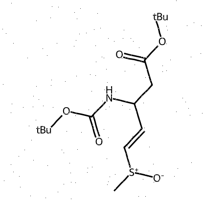 C[S+]([O-])/C=C/C(CC(=O)OC(C)(C)C)NC(=O)OC(C)(C)C